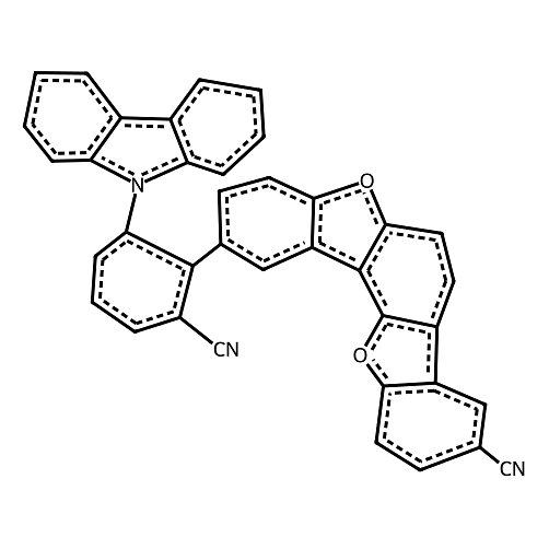 N#Cc1ccc2oc3c(ccc4oc5ccc(-c6c(C#N)cccc6-n6c7ccccc7c7ccccc76)cc5c43)c2c1